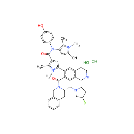 Cc1c(N(C(=O)c2cc(-c3cc4c(cc3C(=O)N3Cc5ccccc5C[C@H]3CN3CC[C@@H](F)C3)CNCC4)n(C)c2C)c2ccc(O)cc2)cc(C#N)n1C.Cl.Cl